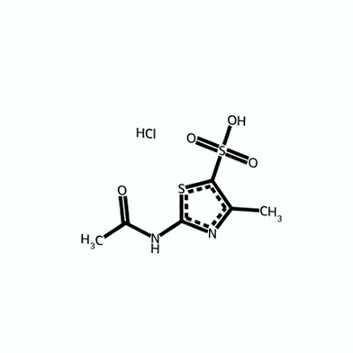 CC(=O)Nc1nc(C)c(S(=O)(=O)O)s1.Cl